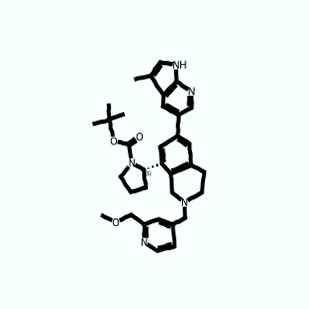 COCc1cc(CN2CCc3cc(-c4cnc5[nH]cc(C)c5c4)cc([C@@H]4CCCN4C(=O)OC(C)(C)C)c3C2)ccn1